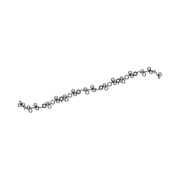 C=CC(=O)CCC(C)(C)COC(=O)CCC(=O)OCCc1ccc(OC(=O)C2CCC(C(=O)Oc3ccc(OC(=O)C4CCC(C(=O)Oc5ccc(CCOC(=O)CCC(=O)OCCc6ccc(OC(=O)C7CCC(C(=O)Oc8ccc(OC(=O)C9CCC(C(=O)Oc%10ccc(CCOC(=O)CCC(=O)OCC(C)(C)COC(=O)C=C)cc%10)CC9)c(C)c8C)CC7)cc6)cc5)CC4)c(C)c3C)CC2)cc1